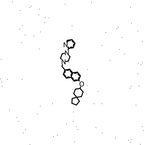 c1ccc(N2CCN(Cc3ccc4cc(OC5CCC6(CCCC6)CC5)ccc4c3)CC2)nc1